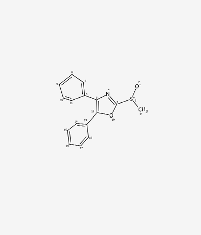 C[S+]([O-])c1nc(-c2ccccc2)c(-c2ccccc2)o1